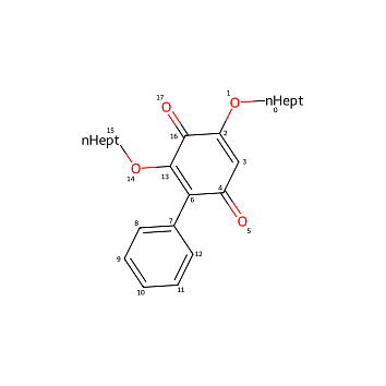 CCCCCCCOC1=CC(=O)C(c2ccccc2)=C(OCCCCCCC)C1=O